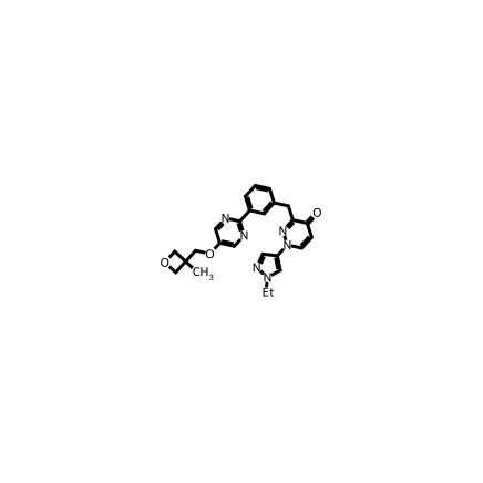 CCn1cc(-n2ccc(=O)c(Cc3cccc(-c4ncc(OCC5(C)COC5)cn4)c3)n2)cn1